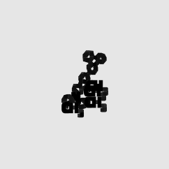 Cc1cccc(N(c2cccc(C)c2)c2ccc3c(c2)C(C)(C)c2cc(-c4ccc5c6ccccc6c6ccccc6c5c4)ccc2-3)c1